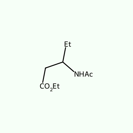 CCOC(=O)CC(CC)NC(C)=O